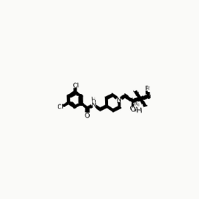 CC(C)(CF)[C@@H](O)CN1CCC(CNC(=O)c2cc(Cl)cc(Cl)c2)CC1